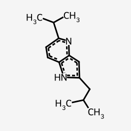 CC(C)Cc1cc2nc(C(C)C)ccc2[nH]1